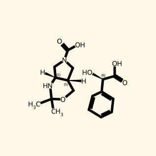 CC1(C)N[C@@H]2CN(C(=O)O)C[C@@H]2CO1.O=C(O)[C@H](O)c1ccccc1